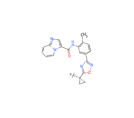 Cc1ccc(-c2noc(C3(C(F)(F)F)CC3)n2)cc1NC(=O)c1cnc2ccccn12